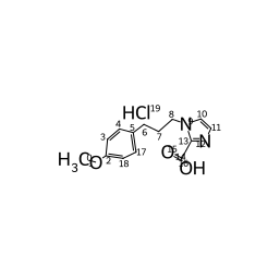 COc1ccc(CCCn2ccnc2C(=O)O)cc1.Cl